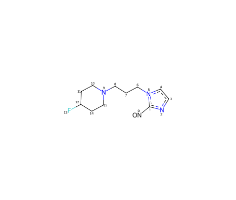 O=Nc1nccn1CCCN1CCC(F)CC1